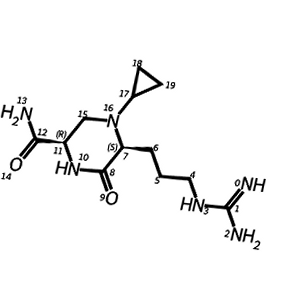 N=C(N)NCCC[C@H]1C(=O)N[C@@H](C(N)=O)CN1C1CC1